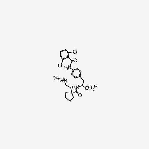 [N-]=[N+]=NCCC1(C(=O)NC(Cc2ccc(NC(=O)c3c(Cl)cccc3Cl)cc2)C(=O)O)CCCC1